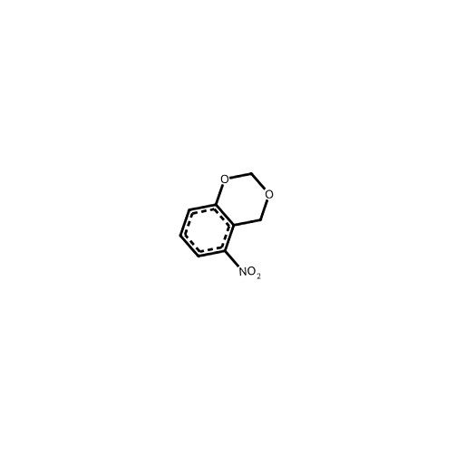 O=[N+]([O-])c1cccc2c1COCO2